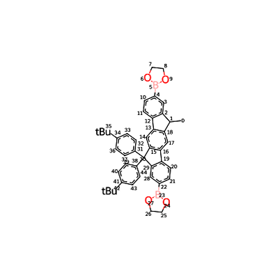 CC1c2cc(B3OCCO3)ccc2-c2cc3c(cc21)-c1ccc(B2OCCO2)cc1C3(c1ccc(C(C)(C)C)cc1)c1ccc(C(C)(C)C)cc1